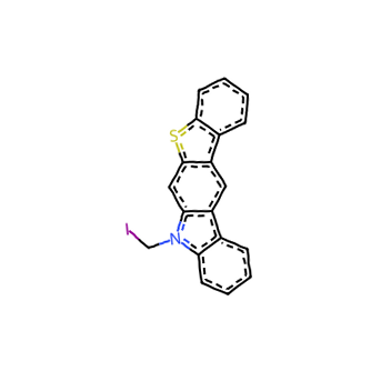 ICn1c2ccccc2c2cc3c(cc21)sc1ccccc13